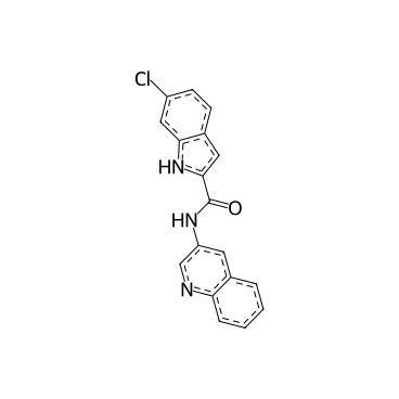 O=C(Nc1cnc2ccccc2c1)c1cc2ccc(Cl)cc2[nH]1